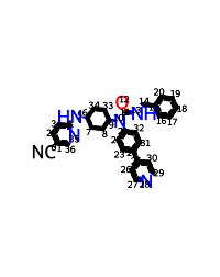 N#Cc1ccc(N[C@H]2CC[C@H](N(C(=O)NCc3ccccc3)c3ccc(-c4ccncc4)cc3)CC2)nc1